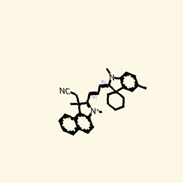 Cc1ccc2c(c1)C1(CCCCC1)/C(=C\C=C\C1=[N+](C)c3ccc4ccccc4c3C1(C)CC#N)N2C